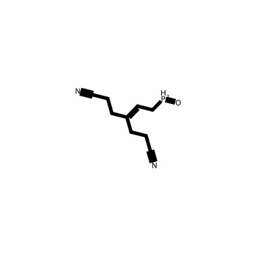 N#CCCC(=CC[PH2]=O)CCC#N